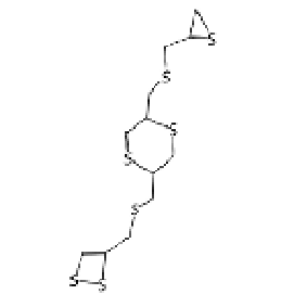 C(SCC1CSC(CSCC2CSS2)CS1)C1CS1